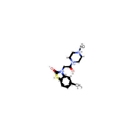 Cc1ccc2sc(=O)n(CC(=O)N3CCN(N=O)CC3)c2c1